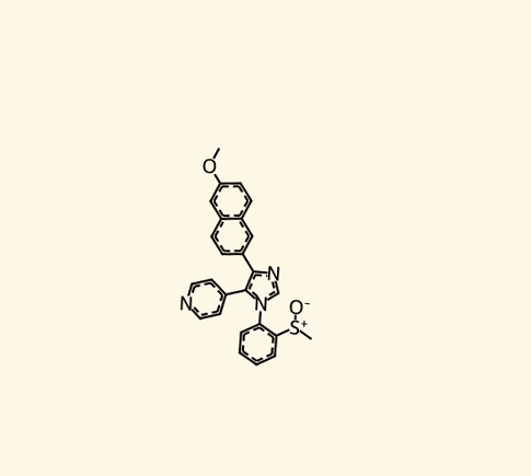 COc1ccc2cc(-c3ncn(-c4ccccc4[S+](C)[O-])c3-c3ccncc3)ccc2c1